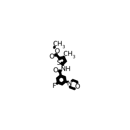 CCOC(=O)c1sc(NC(=O)c2cc(F)cc(N3CCOCC3)c2)cc1C